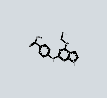 CSC(=O)c1ccc(Nc2nc(NCC(F)(F)F)c3cc[nH]c3n2)cc1